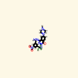 C[C@@H](Nc1n[nH]c(=O)c2ccc(N3CCN(C)CC3)cc12)c1cc([N+](=O)[O-])cc(C(F)(F)F)c1